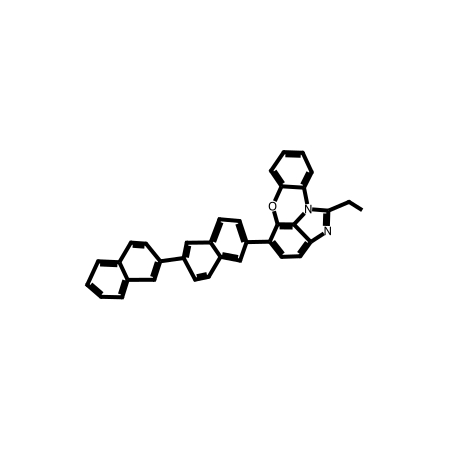 CCc1nc2ccc(-c3ccc4cc(-c5ccc6ccccc6c5)ccc4c3)c3c2n1-c1ccccc1O3